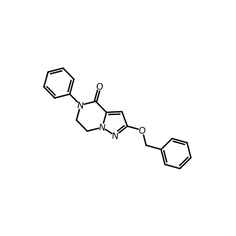 O=C1c2cc(OCc3ccccc3)nn2CCN1c1ccccc1